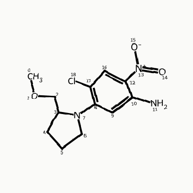 COCC1CCCN1c1cc(N)c([N+](=O)[O-])cc1Cl